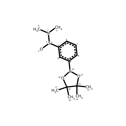 CN(C)[S+]([O-])c1cccc(B2OC(C)(C)C(C)(C)O2)c1